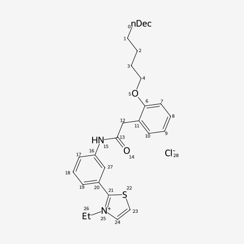 CCCCCCCCCCCCCCOc1ccccc1CC(=O)Nc1cccc(-c2scc[n+]2CC)c1.[Cl-]